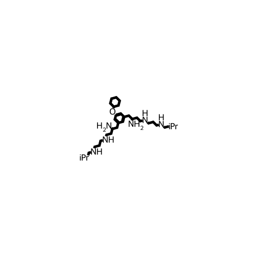 CC(C)CNCCCNCCC(N)Cc1cc(CC(N)CCNCCCNCC(C)C)cc(OC2CCCCC2)c1